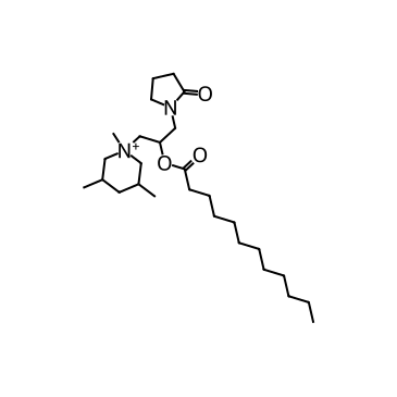 CCCCCCCCCCCC(=O)OC(CN1CCCC1=O)C[N+]1(C)CC(C)CC(C)C1